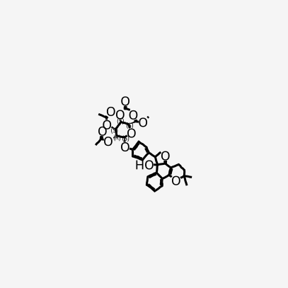 COC(=O)[C@H]1O[C@@H](Oc2ccc(C(C)C3(O)C(=O)C4=C(OC(C)(C)CC4)c4ccccc43)cc2)[C@H](OC(C)=O)[C@@H](OC(C)=O)[C@@H]1OC(C)=O